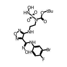 CC(C)(C)OC(=O)N(CCNc1nonc1/C(=N/O)Nc1ccc(F)c(Br)c1)S(=O)(=O)NO